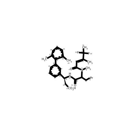 C/C(=C\C(=O)N(C)C(CC(C)C)C(=O)N[C@@H](CC(=O)O)c1cccc(-c2c(C)cccc2C)c1)C(C)(F)F